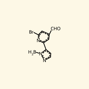 Bn1nccc1-c1cc(C=O)cc(Br)n1